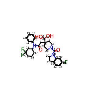 O=C(N1CCC(CC(=O)N(c2ccccc2)C2CCCC(F)(F)C2)(C(O)O)CC1)N1CCc2ccc(F)cc21